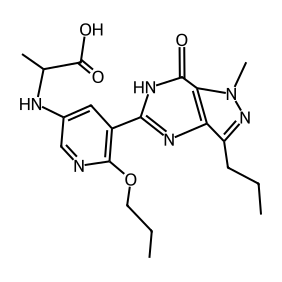 CCCOc1ncc(NC(C)C(=O)O)cc1-c1nc2c(CCC)nn(C)c2c(=O)[nH]1